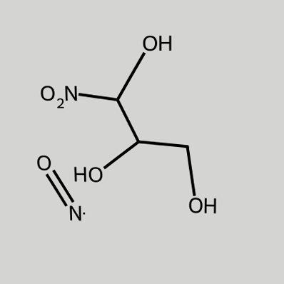 O=[N+]([O-])C(O)C(O)CO.[N]=O